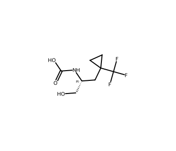 O=C(O)N[C@@H](CO)CC1(C(F)(F)F)CC1